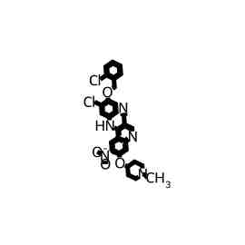 CN1CCC(Oc2cc3ncc(C#N)c(Nc4ccc(OCc5ccccc5Cl)c(Cl)c4)c3cc2[N+](=O)[O-])CC1